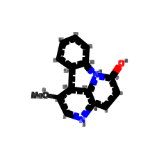 COc1cnc2ccc(=O)n3c4ccccc4c1c23